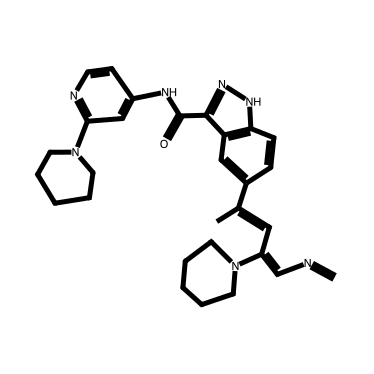 C=N/C=C(\C=C(/C)c1ccc2[nH]nc(C(=O)Nc3ccnc(N4CCCCC4)c3)c2c1)N1CCCCC1